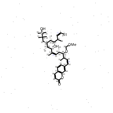 CC/C=C\C(C)[C@H](O)[C@@H](C)[C@H](CC(C)(C)[Si](C)(C)O)[C@@H](C)C/C(C)=C\[C@H](C)[C@@H](OCOC)C(C)/C=C\c1ccc2ccc(=O)oc2c1